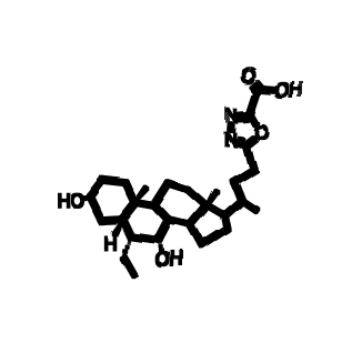 CC[C@H]1[C@@H](O)C2C3CCC(C(C)CCc4nnc(C(=O)O)o4)[C@@]3(C)CCC2[C@@]2(C)CC[C@@H](O)C[C@@H]12